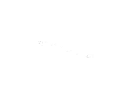 CC(C)CCCCCCCCCC[NH]